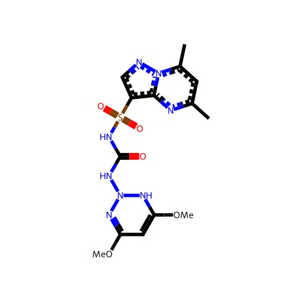 COC1=CC(OC)=NN(NC(=O)NS(=O)(=O)c2cnn3c(C)cc(C)nc23)N1